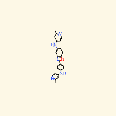 CC1=NC=CC(NC2=Cc3nc(-c4ccc(Nc5ccnc(C)c5)cc4)oc3CC2)C1